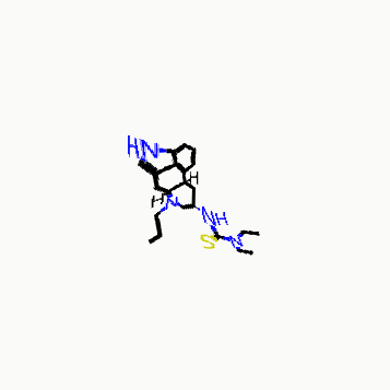 CCCN1C[C@@H](NC(=S)N(CC)CC)C[C@@H]2c3cccc4[nH]cc(c34)C[C@H]21